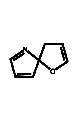 C1=CC2(CC=CO2)N=C1